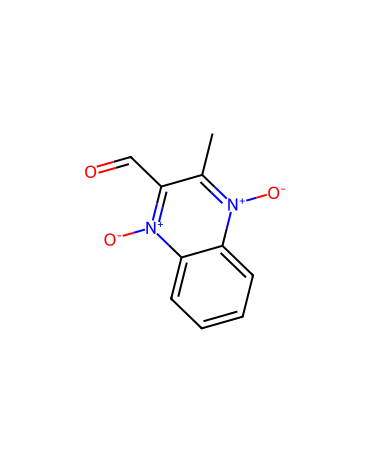 Cc1c(C=O)[n+]([O-])c2ccccc2[n+]1[O-]